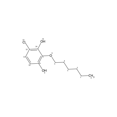 CCCCCCOc1c(O)ccc(Cl)c1O